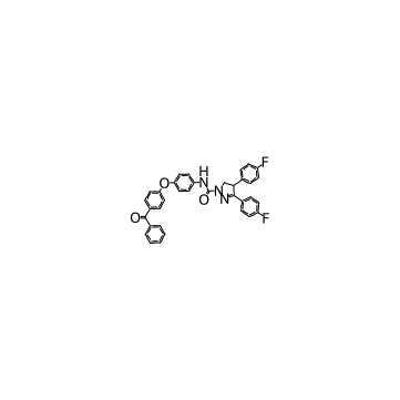 O=C(c1ccccc1)c1ccc(Oc2ccc(NC(=O)N3CC(c4ccc(F)cc4)C(c4ccc(F)cc4)=N3)cc2)cc1